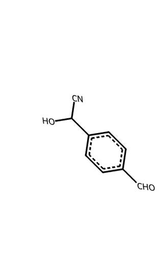 N#CC(O)c1ccc(C=O)cc1